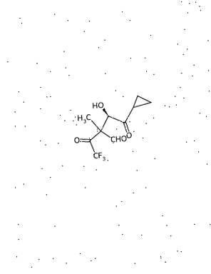 CC([C]=O)(C(=O)C(F)(F)F)[C@@H](O)C(=O)C1CC1